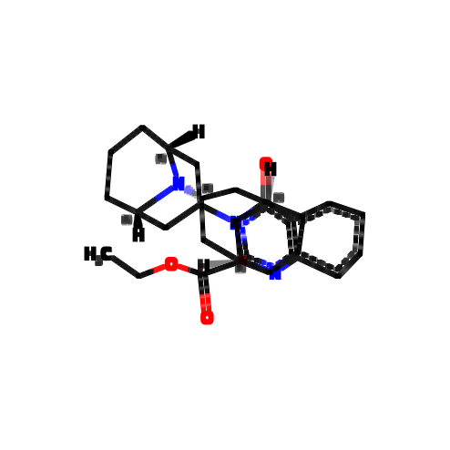 CCOC(=O)c1nc2ccccc2c(=O)n1C1C[C@H]2CCC[C@@H](C1)N2[C@H]1C[C@@H]2CCC[C@@H](C2)C1